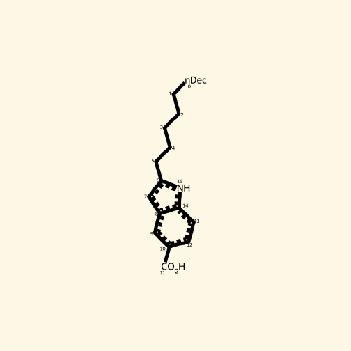 CCCCCCCCCCCCCCCc1cc2cc(C(=O)O)ccc2[nH]1